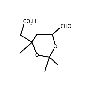 CC1(CC(=O)O)CC(C=O)OC(C)(C)O1